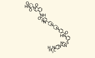 CC1(N)C=CN(c2cnc(Sc3cccc(NC(=O)c4ccc(N5CCC(N6CC=C(c7ccc(C(=O)NCc8cccc9c(=O)n(C%10CCC(=O)NC%10=O)ccc89)nn7)CC6)CC5)cc4)c3)cn2)C=C1